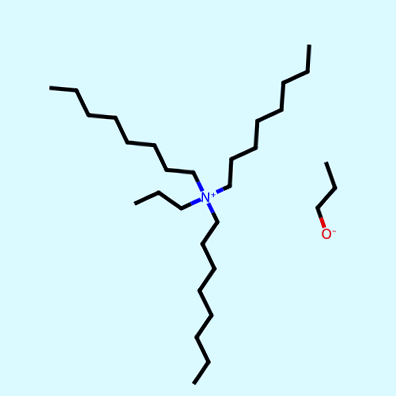 CCCCCCCC[N+](CCC)(CCCCCCCC)CCCCCCCC.CCC[O-]